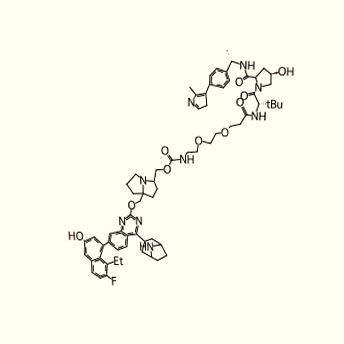 CCc1c(F)ccc2cc(O)cc(-c3ccc4c(C5CC6CCC(C5)N6)nc(OCC56CCCN5C(COC(=O)NCCOCCOCCC(=O)N[C@H](C(=O)N5C[C@H](O)CC5C(=O)N[C@@H](C)c5ccc(C7=C(C)N=CC7)cc5)C(C)(C)C)CC6)nc4c3)c12